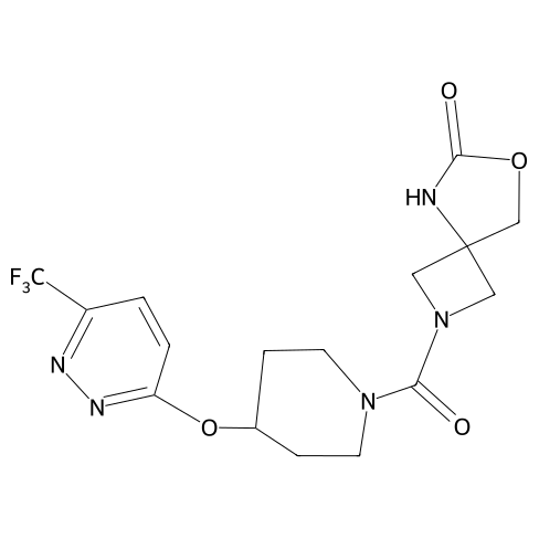 O=C1NC2(CO1)CN(C(=O)N1CCC(Oc3ccc(C(F)(F)F)nn3)CC1)C2